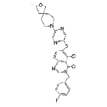 C[C@H]1CC2(CCN(c3cnc(Sc4ccc5ncn(Cc6ccc(F)cc6)c(=O)c5c4Cl)cn3)CC2)CO1